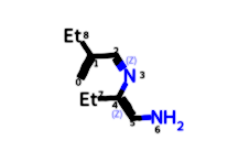 C=C(/C=N\C(=C/N)CC)CC